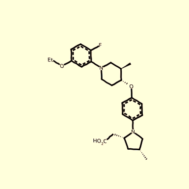 CCOc1ccc(F)c(N2CC[C@@H](Oc3ccc(N4C[C@H](C)C[C@@H]4CC(=O)O)cc3)[C@H](C)C2)c1